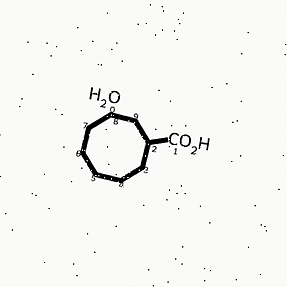 O.O=C(O)C1CCCCCCC1